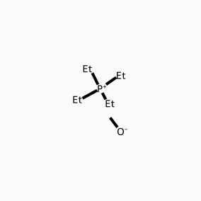 CC[P+](CC)(CC)CC.C[O-]